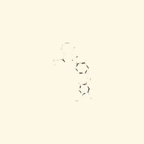 CNC(=O)C1CSCCN1S(=O)(=O)c1ccc(Nc2ccc(OC)c(I)c2)cc1